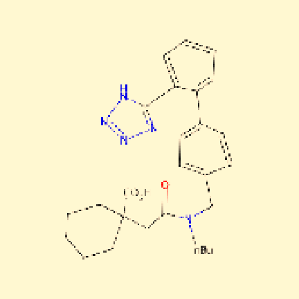 CCCCN(Cc1ccc(-c2ccccc2-c2nnn[nH]2)cc1)C(=O)CC1(C(=O)O)CCCCC1